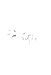 CS(=O)(=O)c1nc2ncc(Sc3cc[nH]c(=O)c3Cl)nc2[nH]1